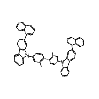 Cc1cc(-n2c3c(c4ccccc42)CCC(c2cccc4ccccc24)=C3)ccc1-c1ccc(-n2c3ccccc3c3ccc(-c4cccc5ccccc45)cc32)cc1C